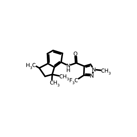 CC1CC(C)(C)c2c(NC(=O)c3cn(C)nc3C(F)(F)F)cccc21